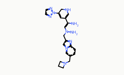 N/C(=C\N(N)Cc1cn2cc(CN3CCC3)ccc2n1)C1=CNCC(n2nccn2)=C1